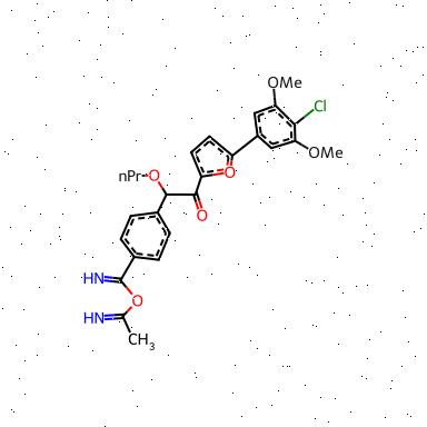 CCCOC(C(=O)c1ccc(-c2cc(OC)c(Cl)c(OC)c2)o1)c1ccc(C(=N)OC(C)=N)cc1